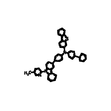 Cc1ccc(-n2c3ccccc3c3cc(-c4ccc(N(c5ccc(-c6ccccc6)cc5)c5ccc6c(c5)sc5ccccc56)cc4)ccc32)nc1